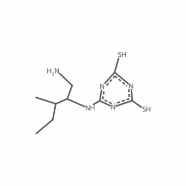 CCC(C)C(CN)Nc1nc(S)nc(S)n1